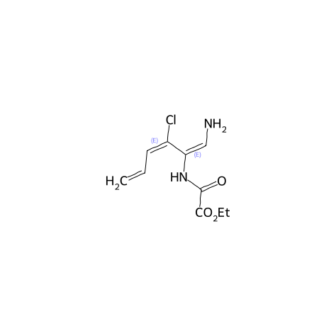 C=C/C=C(Cl)\C(=C/N)NC(=O)C(=O)OCC